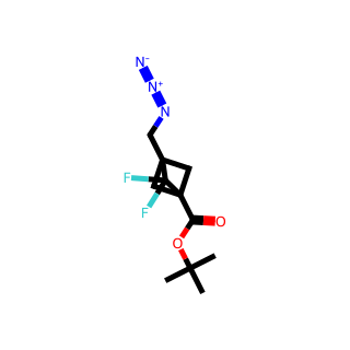 CC(C)(C)OC(=O)C12CC(CN=[N+]=[N-])(C1)C2(F)F